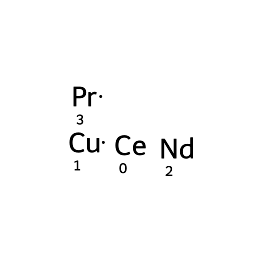 [Ce].[Cu].[Nd].[Pr]